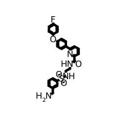 NCc1cccc(S(=O)(=O)NCCNC(=O)c2cccc(-c3ccc(Oc4ccc(F)cc4)cc3)n2)c1